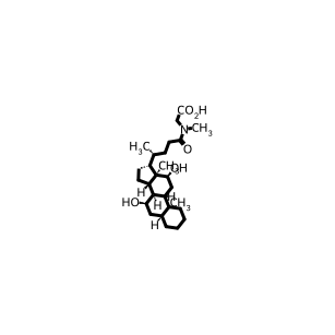 C[C@H](CCC(=O)N(C)CC(=O)O)[C@H]1CC[C@H]2[C@@H]3[C@H](O)C[C@@H]4CCCC[C@]4(C)[C@H]3C[C@H](O)[C@]12C